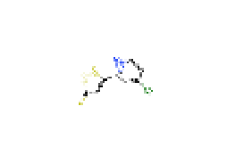 S=c1cc(-c2cc(Cl)ccn2)ss1